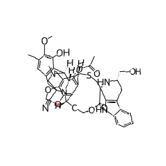 COc1c(C)cc2c(c1O)[C@H]1[C@@H]3[C@@H]4SC[C@]5(N[C@H](CO)Cc6c5[nH]c5ccccc65)C(=O)OCC[C@@H](c5c6c(c(C)c(OC(C)=O)c54)OCO6)N3C(C#N)(C2)CN1C